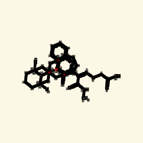 CNC(=O)C(=NOCC(=O)O)c1nc2ccccc2n([C@H]2C[C@H]3CCC[C@@H](C2)N3C2CC3CCCCC(C3)C2)c1=O